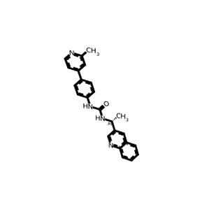 Cc1cc(-c2ccc(NC(=O)N[C@H](C)c3cnc4ccccc4c3)cc2)ccn1